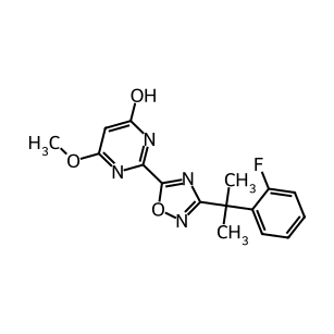 COc1cc(O)nc(-c2nc(C(C)(C)c3ccccc3F)no2)n1